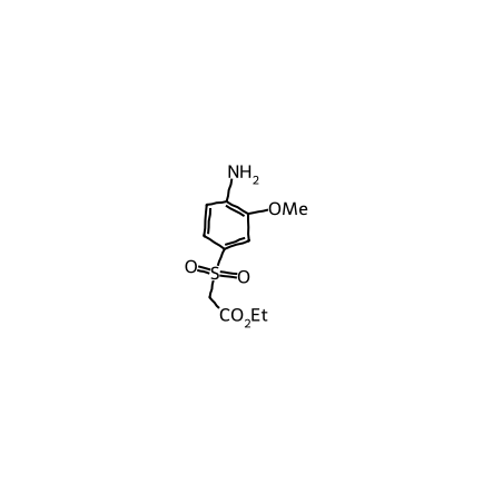 CCOC(=O)CS(=O)(=O)c1ccc(N)c(OC)c1